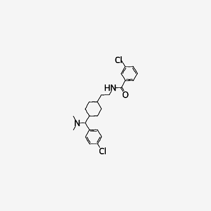 CN(C)C(c1ccc(Cl)cc1)C1CCC(CCNC(=O)c2cccc(Cl)c2)CC1